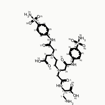 NC[C@H](NC(=O)CN(CCN(CC(=O)O)CC(=O)Nc1ccc(S(N)(=O)=O)cc1)CC(=O)Nc1ccc(S(N)(=O)=O)cc1)C(=O)O